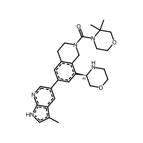 Cc1c[nH]c2ncc(-c3cc4c(c([C@@H]5COCCN5)c3)CN(C(=O)N3CCOCC3(C)C)CC4)cc12